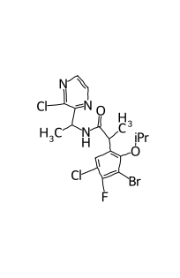 CC(C)Oc1c(C(C)C(=O)NC(C)c2nccnc2Cl)cc(Cl)c(F)c1Br